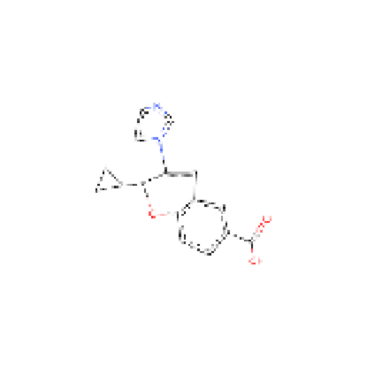 O=C(O)c1ccc2c(c1)C=C(n1ccnc1)C(C1CC1)O2